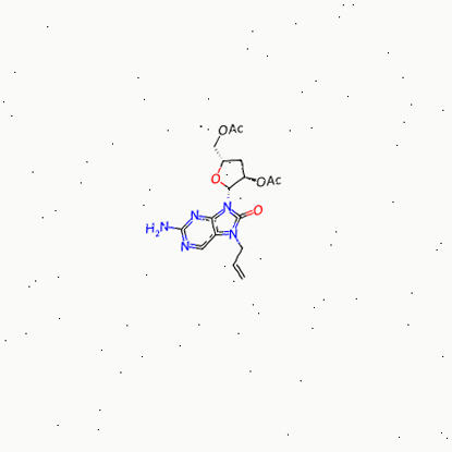 C=CCn1c(=O)n([C@@H]2O[C@H](COC(C)=O)C[C@H]2OC(C)=O)c2nc(N)ncc21